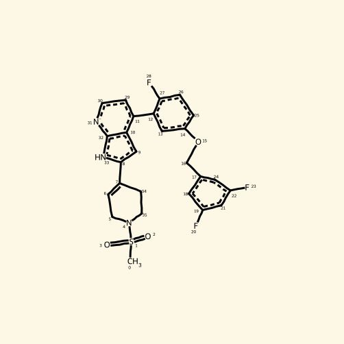 CS(=O)(=O)N1CC=C(c2cc3c(-c4cc(OCc5cc(F)cc(F)c5)ccc4F)ccnc3[nH]2)CC1